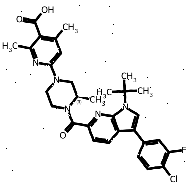 Cc1cc(N2CCN(C(=O)c3ccc4c(-c5ccc(Cl)c(F)c5)cn(C(C)(C)C)c4n3)[C@H](C)C2)nc(C)c1C(=O)O